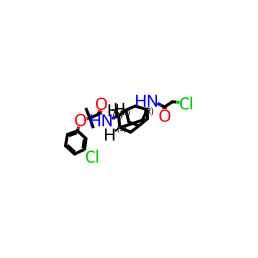 CC(C)(Oc1cccc(Cl)c1)C(=O)N[C@H]1[C@@H]2CC3C[C@H]1C[C@](NC(=O)CCl)(C3)C2